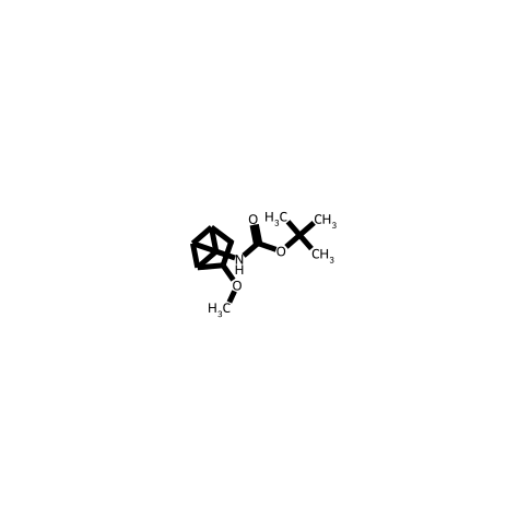 COC1CC2C3C1C23NC(=O)OC(C)(C)C